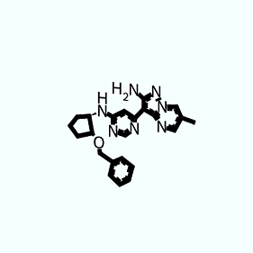 Cc1cnc2c(-c3cc(N[C@H]4CCC[C@@H]4OCc4ccccc4)ncn3)c(N)nn2c1